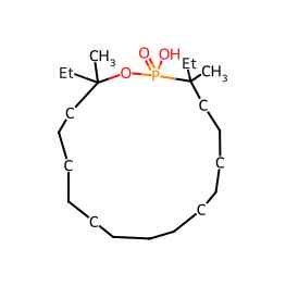 CCC1(C)CCCCCCCCCCCCCC(C)(CC)P(=O)(O)O1